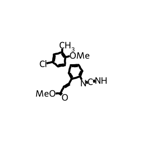 COC(=O)C=Cc1ccccc1N=C=N.COc1ccc(Cl)cc1C